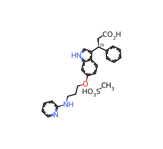 CS(=O)(=O)O.O=C(O)C[C@@H](c1ccccc1)c1c[nH]c2cc(OCCCNc3ccccn3)ccc12